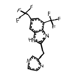 FC(F)(F)c1cc(C(F)(F)F)c2nc(Cc3cnccn3)[nH]c2c1